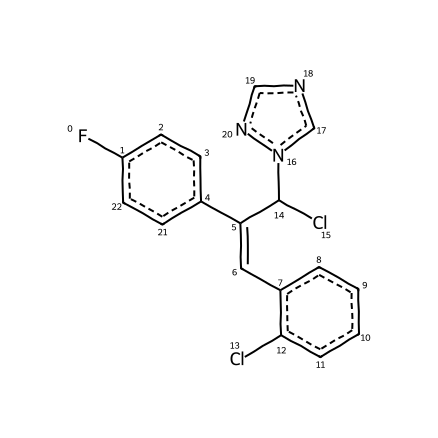 Fc1ccc(C(=Cc2ccccc2Cl)C(Cl)n2cncn2)cc1